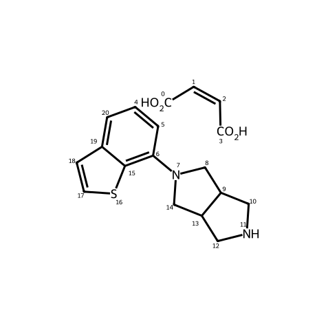 O=C(O)/C=C\C(=O)O.c1cc(N2CC3CNCC3C2)c2sccc2c1